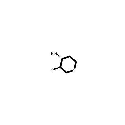 N[C@@H]1CCSC[C@H]1O